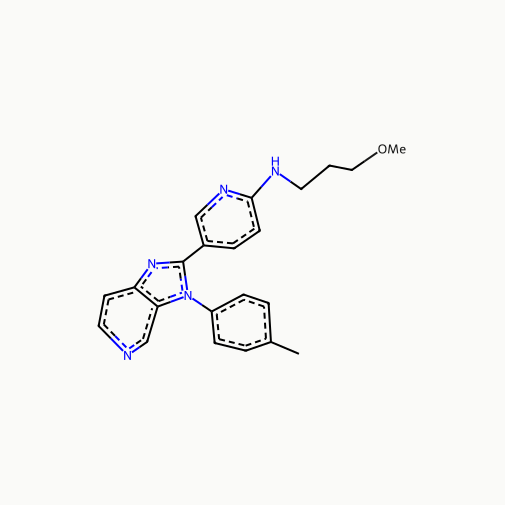 COCCCNc1ccc(-c2nc3ccncc3n2-c2ccc(C)cc2)cn1